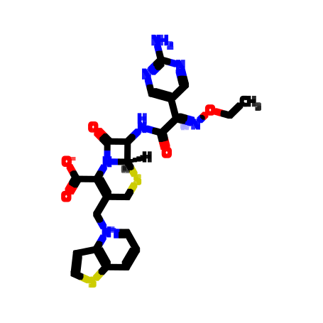 CCO/N=C(/C(=O)NC1C(=O)N2C(C(=O)[O-])=C(C[n+]3cccc4sccc43)CS[C@H]12)c1cnc(N)nc1